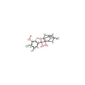 COc1cc(C2(OC)OOC23C2CC4CC3CC(Cl)(C4)C2)cc(C)c1Cl